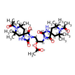 CC(=O)OC(CN1C(=O)NC2(CC(C)(C)N(C(C)=O)C(C)(C)C2)C1=O)CN1C(=O)NC2(CC(C)(C)N(C(C)=O)C(C)(C)C2)C1=O